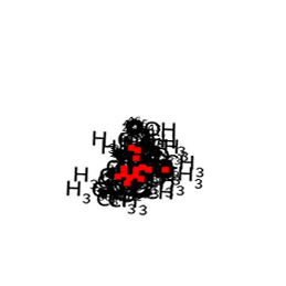 C#CCC(OC(=O)N(C)C(C(=O)N[C@H](C(=O)N(C)[C@@H]([C@@H](C)CC)[C@@H](CC(=O)N1CCC[C@H]1[C@H](OC)[C@@H](C)C(=O)N[C@H](C)[C@@H](O)c1ccccc1)OC)C(C)C)C(C)C)c1ccc(OC2OC(C(=O)OC)C(OC(C)=O)C(OC(C)=O)C2OC(C)=O)c([N+](=O)[O-])c1